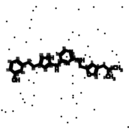 CN(C)Cc1cc(CNc2nccc(Nc3cc(CCc4cccc(O)c4)n[nH]3)n2)on1